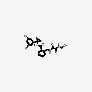 N#CCNC(=O)C(=O)NCc1ccccc1C(=O)NC1(c2cc(F)cc(Br)c2)CC1